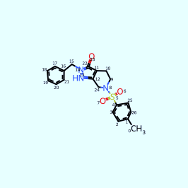 Cc1ccc(S(=O)(=O)N2CCc3c([nH]n(Cc4ccccc4)c3=O)C2)cc1